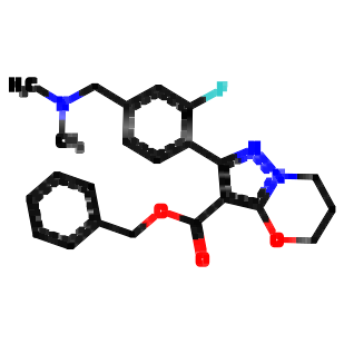 CN(C)Cc1ccc(-c2nn3c(c2C(=O)OCc2ccccc2)OCCC3)c(F)c1